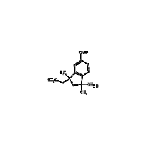 COc1ccc2c(c1)C(C)(CC(=O)O)CC2(C)N.Cl